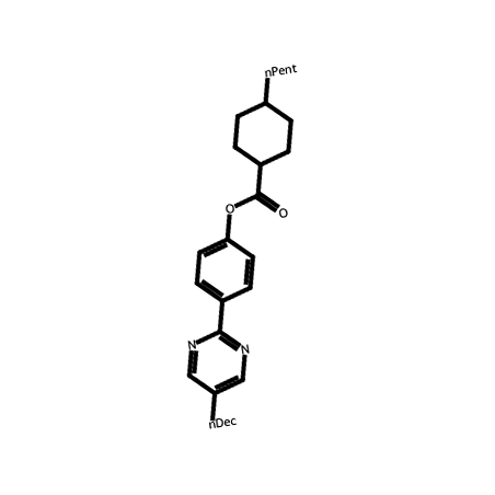 CCCCCCCCCCc1cnc(-c2ccc(OC(=O)C3CCC(CCCCC)CC3)cc2)nc1